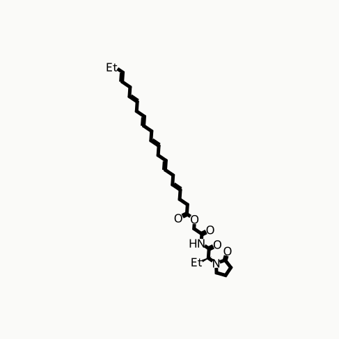 CCC=CCC=CCC=CCC=CCC=CCC=CCCC(=O)OCC(=O)NC(=O)[C@H](CC)N1CCCC1=O